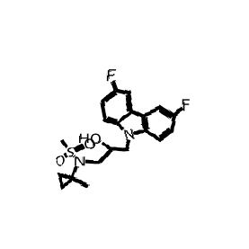 CC1(N(CC(O)Cn2c3ccc(F)cc3c3cc(F)ccc32)S(C)(=O)=O)CC1